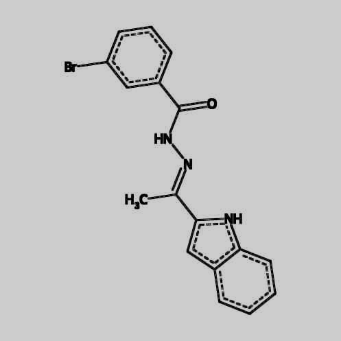 C/C(=N\NC(=O)c1cccc(Br)c1)c1cc2ccccc2[nH]1